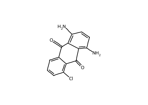 Nc1ccc(N)c2c1C(=O)c1cccc(Cl)c1C2=O